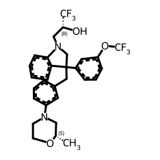 C[C@H]1CN(c2cccc(CC3(c4cccc(OC(F)(F)F)c4)CN(C[C@@H](O)C(F)(F)F)c4ccccc43)c2)CCO1